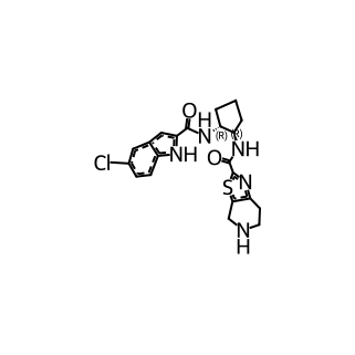 O=C(N[C@@H]1CCC[C@H]1NC(=O)c1nc2c(s1)CNCC2)c1cc2cc(Cl)ccc2[nH]1